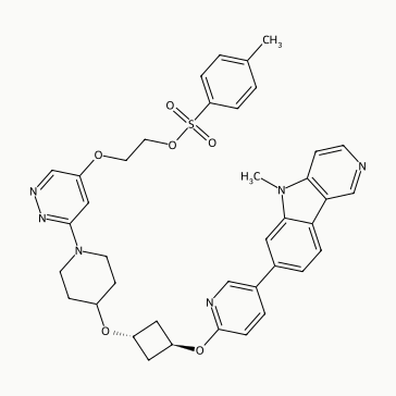 Cc1ccc(S(=O)(=O)OCCOc2cnnc(N3CCC(O[C@H]4C[C@H](Oc5ccc(-c6ccc7c8cnccc8n(C)c7c6)cn5)C4)CC3)c2)cc1